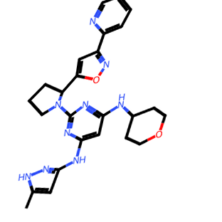 Cc1cc(Nc2cc(NC3CCOCC3)nc(N3CCCC3c3cc(-c4ccccn4)no3)n2)n[nH]1